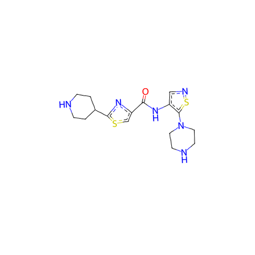 O=C(Nc1cnsc1N1CCNCC1)c1csc(C2CCNCC2)n1